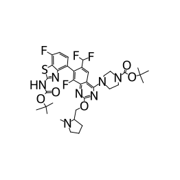 CN1CCCC1COc1nc(N2CCN(C(=O)OC(C)(C)C)CC2)c2cc(C(F)F)c(-c3ccc(F)c4sc(NC(=O)OC(C)(C)C)nc34)c(F)c2n1